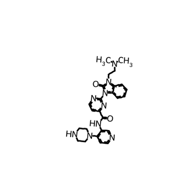 CN(C)CCn1c(=O)n(-c2nccc(C(=O)Nc3cnccc3N3CCNCC3)n2)c2ccccc21